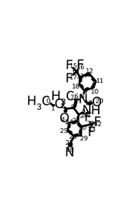 CCOC(=O)C1=C(C)N(c2cccc(C(F)(F)F)c2)C(=O)NC1c1ccc(C#N)cc1C(F)(F)F